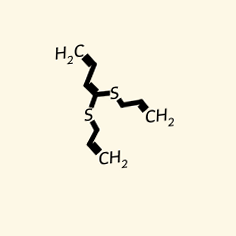 C=CC=C(SCC=C)SCC=C